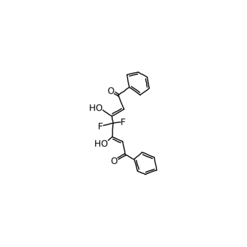 O=C(/C=C(\O)C(F)(F)/C(O)=C/C(=O)c1ccccc1)c1ccccc1